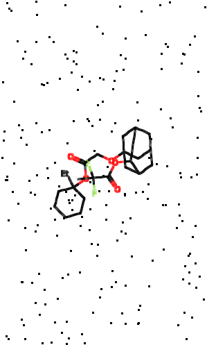 CCC1(OC(=O)COC23CC4CC(C2)C(OC(=O)C(C)(F)F)C(C4)C3)CCCCC1